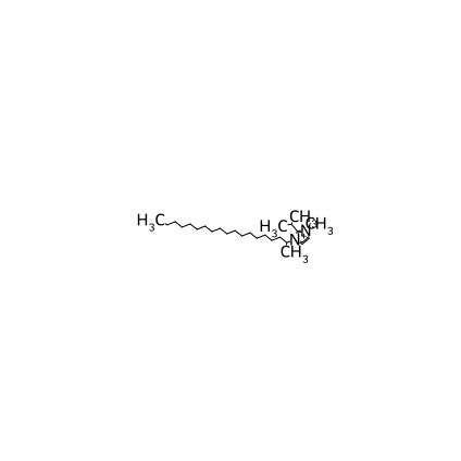 CCCCCCCCCCCCCCCCCC(C)[n+]1ccn(C)c1C(C)C